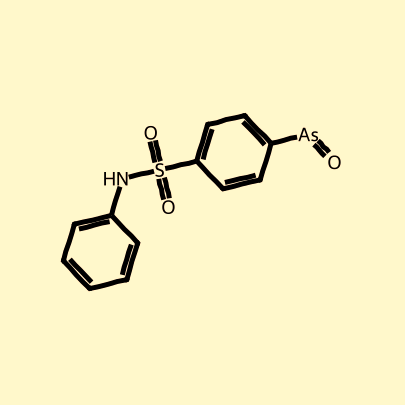 O=[As]c1ccc(S(=O)(=O)Nc2ccccc2)cc1